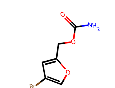 NC(=O)OCc1cc(Br)co1